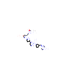 CC(=O)NCCC1CC(O)CN1c1ccc(-c2ccnc(Nc3cccc(CN4CCNCC4)c3)n2)cn1